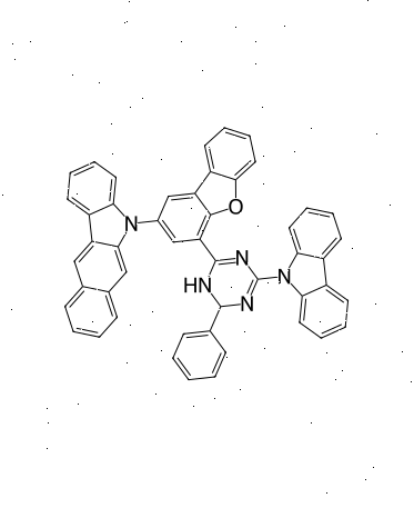 c1ccc(C2N=C(n3c4ccccc4c4ccccc43)N=C(c3cc(-n4c5ccccc5c5cc6ccccc6cc54)cc4c3oc3ccccc34)N2)cc1